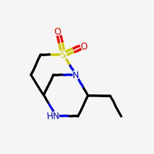 CCC1CNC2CCS(=O)(=O)N1C2